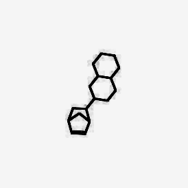 C1=CC2CC1CC2C1CCC2CCCCC2C1